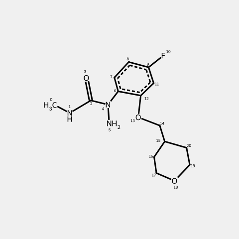 CNC(=O)N(N)c1ccc(F)cc1OCC1CCOCC1